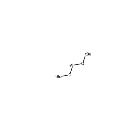 CC(C)(C)[O][Al][O]C(C)(C)C